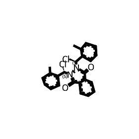 Cc1ccccc1[C@H](Cl)n1c(=O)c2ccccc2c(=O)n1[C@@H](Cl)c1ccccc1C